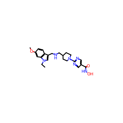 CCn1cc(CNCC2CCN(c3ncc(C(=O)NO)cn3)CC2)c2ccc(OC)cc21